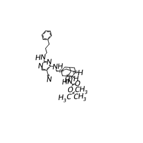 CC(C)(C)OC(=O)N[C@@H]1[C@@H]2CC3C[C@H]1C[C@@](CNc1nc(NCCCc4ccccc4)ncc1C#N)(C3)C2